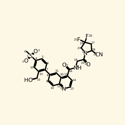 CS(=O)(=O)c1ccc(-c2ccc3nccc(C(=O)NCC(=O)N4CC(F)(F)CC4C#N)c3c2)c(CO)c1